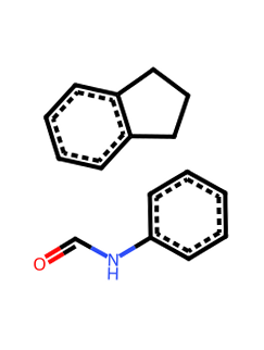 O=CNc1ccccc1.c1ccc2c(c1)CCC2